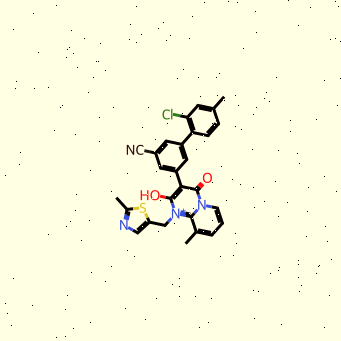 Cc1ccc(-c2cc(C#N)cc(-c3c(O)[n+](Cc4cnc(C)s4)c4c(C)cccn4c3=O)c2)c(Cl)c1